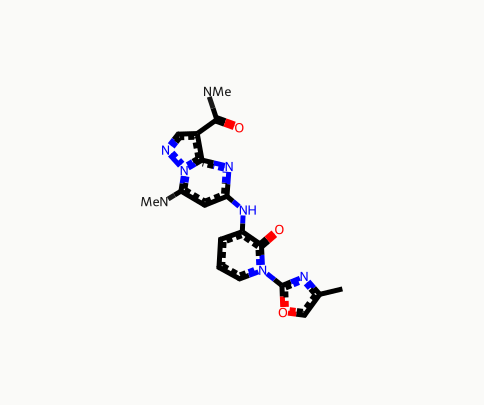 CNC(=O)c1cnn2c(NC)cc(Nc3cccn(-c4nc(C)co4)c3=O)nc12